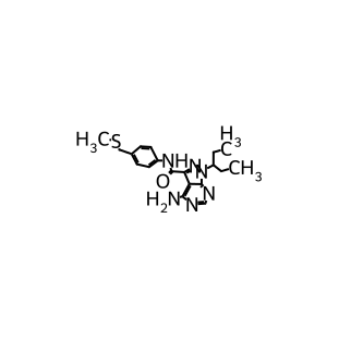 CCC(CC)n1nc(C(=O)Nc2ccc(CSC)cc2)c2c(N)ncnc21